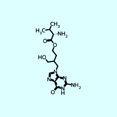 CC(C)[C@H](N)C(=O)OCCC(CO)Cn1cnc2c(=O)[nH]c(N)nc21